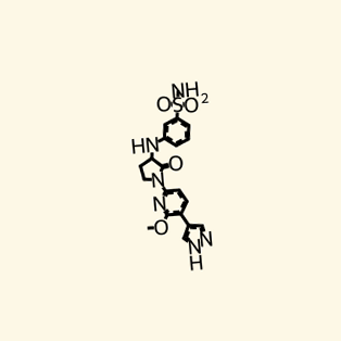 COc1nc(N2CCC(Nc3cccc(S(N)(=O)=O)c3)C2=O)ccc1-c1cn[nH]c1